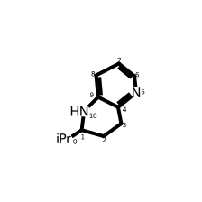 CC(C)C1CCc2ncccc2N1